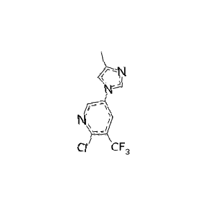 Cc1cn(-c2cnc(Cl)c(C(F)(F)F)c2)cn1